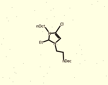 CCCCCCCCCCCCN1C=C(Cl)N(CCCCCCCC)C1CC